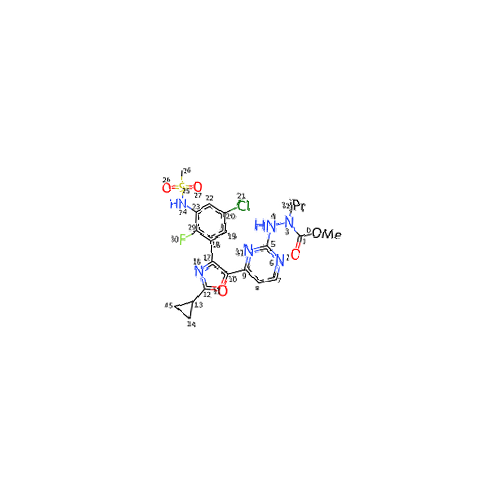 COC(=O)N(Nc1nccc(-c2oc(C3CC3)nc2-c2cc(Cl)cc(NS(C)(=O)=O)c2F)n1)C(C)C